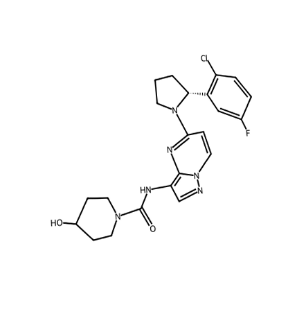 O=C(Nc1cnn2ccc(N3CCC[C@@H]3c3cc(F)ccc3Cl)nc12)N1CCC(O)CC1